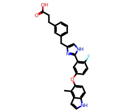 Cc1c(Oc2ccc(F)c(-c3nc(Cc4cccc(CCC(=O)O)c4)c[nH]3)c2)ccc2[nH]ccc12